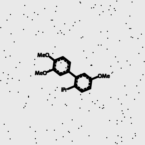 COc1ccc(C(C)C)c(-c2ccc(OC)c(OC)c2)c1